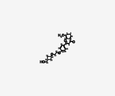 Cc1cccc2c(=O)cc(-c3ccc(OCCOC4CC(CO)C4)cc3)oc12